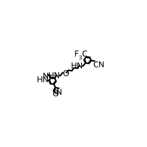 N#CCc1cc(CNCCCCOCCNc2cc(-c3cnoc3)cc3[nH]ncc23)cc(C(F)(F)F)c1